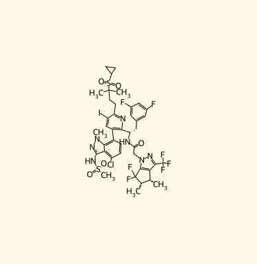 C[C@@H]1c2c(C(F)(F)F)nn(CC(=O)N[C@@H](Cc3cc(F)cc(F)c3)c3nc(CCC(C)(C)S(=O)(=O)C4CC4)c(I)cc3-c3ccc(Cl)c4c(NS(C)(=O)=O)nn(C)c34)c2C(F)(F)[C@@H]1C